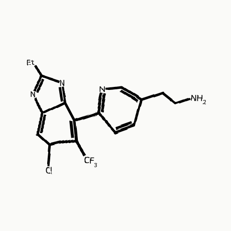 CCC1=NC2=CC(Cl)C(C(F)(F)F)=C(c3ccc(CCN)cn3)C2=N1